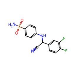 N#CC(Nc1ccc(S(N)(=O)=O)cc1)c1ccc(F)c(F)c1